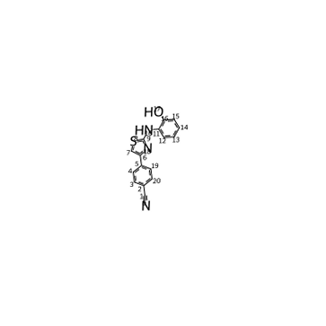 N#Cc1ccc(-c2csc(Nc3ccccc3O)n2)cc1